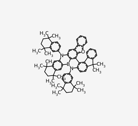 CC1(C)CCC(C)(C)c2cc(N3B4c5cc6c(cc5N(c5ccc7c(c5)C(C)(C)CCC7(C)C)c5cc7c(oc8ccccc87)c(c54)-c4c3ccc3c4-c4ccccc4C3(C)C)C(C)(C)CCC6(C)C)ccc21